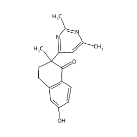 Cc1cc(C2(C)CCc3cc(O)ccc3C2=O)nc(C)n1